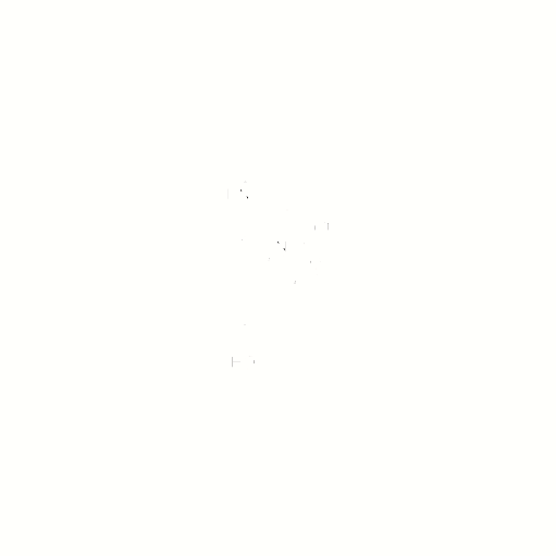 CCCC(=O)N(c1ccc2cc(O)ccc2c1)C1CCNCC1